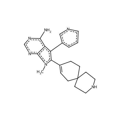 Cn1c(C2=CCC3(CCNCC3)CC2)c(-c2cccnc2)c2c(N)ncnc21